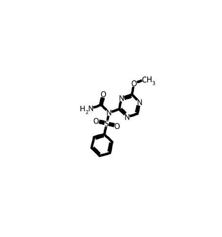 COc1ncnc(N(C(N)=O)S(=O)(=O)c2ccccc2)n1